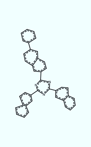 c1ccc(-c2ccc3cc(-c4nc(-c5ccc6ccccc6c5)nc(-c5ccc6ccccc6c5)n4)ccc3c2)cc1